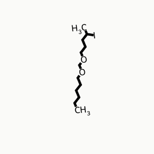 CCCCCCOCOCCCC(C)I